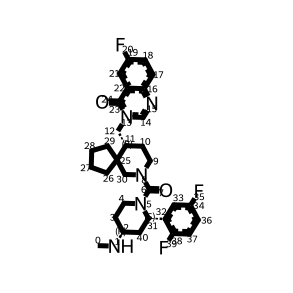 CN[C@@H]1CCN(C(=O)N2CC[C@@H](Cn3cnc4ccc(F)cc4c3=O)C3(CCCC3)C2)[C@H](c2cc(F)ccc2F)C1